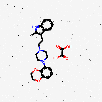 Cc1[nH]c2ccccc2c1CCN1CCN(c2cccc3c2OCCO3)CC1.O=C(O)C(=O)O